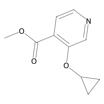 COC(=O)c1ccncc1OC1CC1